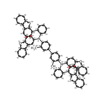 Cc1cc(-c2ccc(N(c3ccc4oc5ccccc5c4c3)c3ccccc3-c3cccc4c3sc3ccccc34)c(C)c2)ccc1N(c1ccc2oc3ccccc3c2c1)c1ccccc1-c1cccc2c1sc1ccccc12